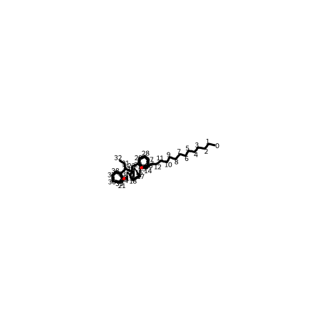 CCCCCCCCCCCCCCCCN1C=CN(CC)C1(Cc1ccccc1)C(CC)c1ccccc1